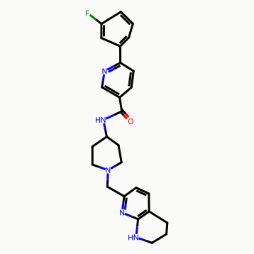 O=C(NC1CCN(Cc2ccc3c(n2)NCCC3)CC1)c1ccc(-c2cccc(F)c2)nc1